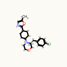 Cc1cnc(C2CCC(N3CCOC[C@@H]3Cc3ccc(Cl)cc3)CC2)o1